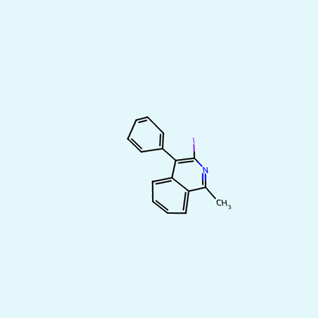 Cc1nc(I)c(-c2ccccc2)c2ccccc12